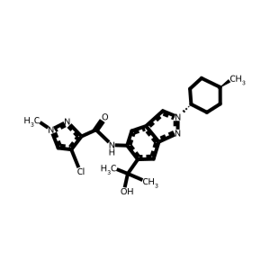 Cn1cc(Cl)c(C(=O)Nc2cc3cn([C@H]4CC[C@H](C)CC4)nc3cc2C(C)(C)O)n1